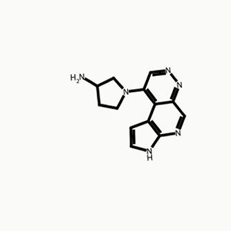 NC1CCN(c2cnnc3cnc4[nH]ccc4c23)C1